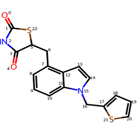 O=C1NC(=O)C(Cc2cccc3c2ccn3Cc2cccs2)S1